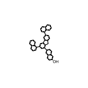 Oc1ccc2cc(-c3cc(-c4cccc5ccccc45)cc4c3Cc3ccc(-c5cccc6ccccc56)cc3-4)ccc2c1